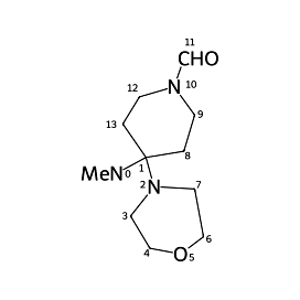 CNC1(N2CCOCC2)CCN(C=O)CC1